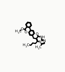 CCCCC1=C(Cc2ccc(-c3ccccc3C(=O)OC)cc2)C(=O)NC2=NC=C(C)[N+]21